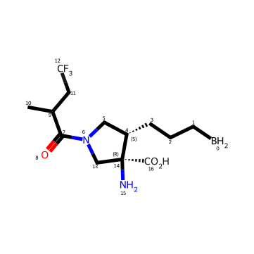 BCCC[C@H]1CN(C(=O)C(C)CC(F)(F)F)C[C@@]1(N)C(=O)O